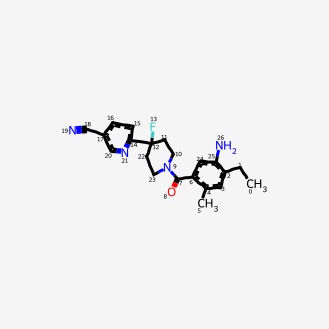 CCc1cc(C)c(C(=O)N2CCC(F)(c3ccc(C#N)cn3)CC2)cc1N